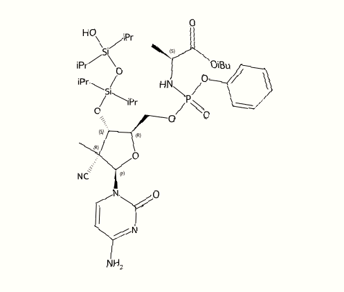 CC(C)COC(=O)[C@H](C)NP(=O)(OC[C@H]1O[C@@H](n2ccc(N)nc2=O)[C@](C)(C#N)[C@@H]1O[Si](O[Si](O)(C(C)C)C(C)C)(C(C)C)C(C)C)Oc1ccccc1